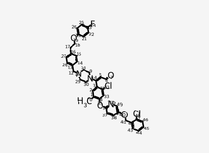 Cc1cc(/C(=C\C=O)N2CCN(Cc3ccc(CCOc4ccc(F)cc4)cc3)CC2)c(Cl)cc1Oc1ccc(OCc2ccccc2Cl)cn1